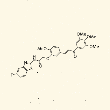 COc1ccc(/C=C/C(=O)c2cc(OC)c(OC)c(OC)c2)cc1OCC(=O)Nc1nc2cc(F)ccc2s1